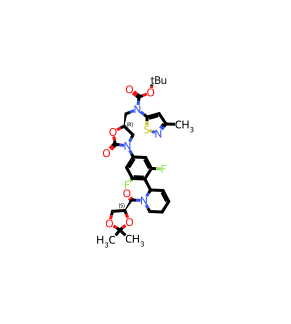 Cc1cc(N(C[C@H]2CN(c3cc(F)c(C4C=CCCN4C(=O)[C@@H]4COC(C)(C)O4)c(F)c3)C(=O)O2)C(=O)OC(C)(C)C)sn1